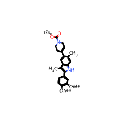 COc1ccc(-c2[nH]c3cc(C)c(C4=CCN(C(=O)OC(C)(C)C)CC4)cc3c2C)cc1OC